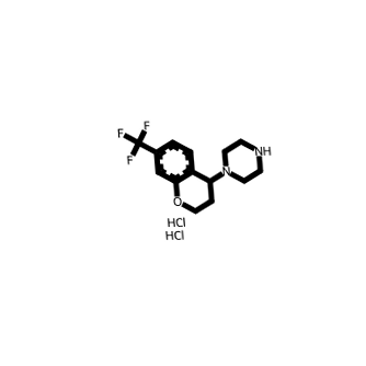 Cl.Cl.FC(F)(F)c1ccc2c(c1)OCCC2N1CCNCC1